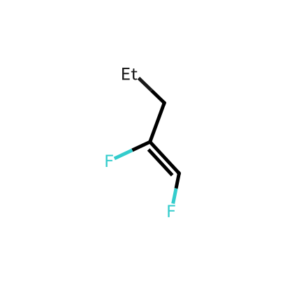 CCCC(F)=CF